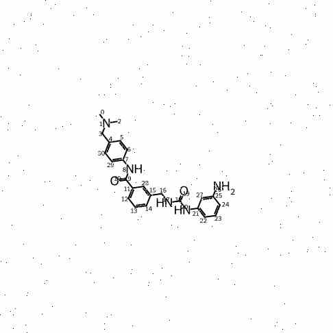 CN(C)Cc1ccc(NC(=O)c2cccc(CNC(=O)Nc3cccc(N)c3)c2)cc1